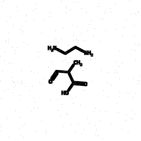 CC(C=O)C(=O)O.NCCN